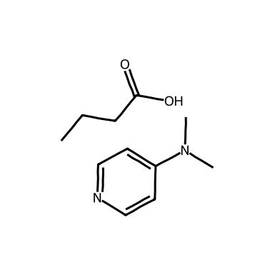 CCCC(=O)O.CN(C)c1ccncc1